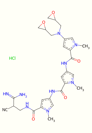 Cl.Cn1cc(NC(=O)c2cc(NC(=O)c3cc(N(CC4CO4)CC4CO4)cn3C)cn2C)cc1C(=O)NCC(C#N)C(=N)N